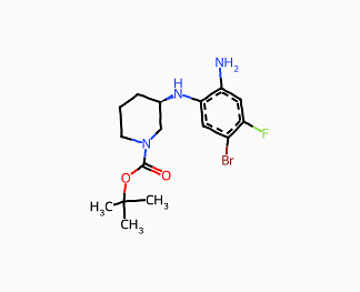 CC(C)(C)OC(=O)N1CCC[C@@H](Nc2cc(Br)c(F)cc2N)C1